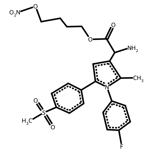 Cc1c(C(N)C(=O)OCCCCO[N+](=O)[O-])cc(-c2ccc(S(C)(=O)=O)cc2)n1-c1ccc(F)cc1